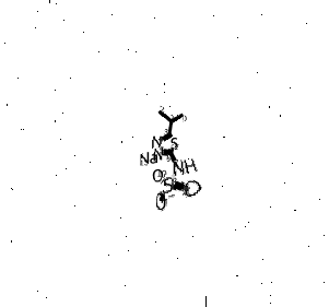 CC(C)c1nnc(NS(=O)(=O)[O-])s1.[Na+]